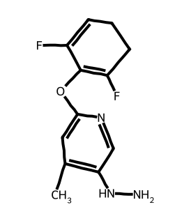 Cc1cc(OC2=C(F)CCC=C2F)ncc1NN